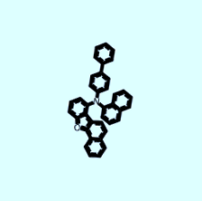 c1ccc(-c2ccc(N(c3cccc4ccccc34)c3cccc4oc5c6ccccc6ccc5c34)cc2)cc1